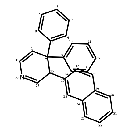 C1=CC(c2ccccc2)(c2ccccc2)C(c2ccc3ccccc3c2)C=N1